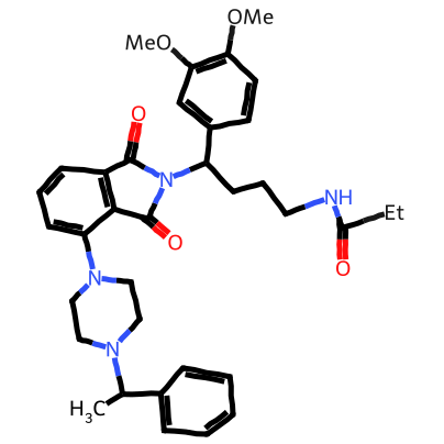 CCC(=O)NCCCC(c1ccc(OC)c(OC)c1)N1C(=O)c2cccc(N3CCN(C(C)c4ccccc4)CC3)c2C1=O